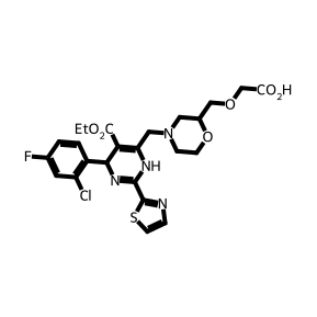 CCOC(=O)C1=C(CN2CCOC(COCC(=O)O)C2)NC(c2nccs2)=NC1c1ccc(F)cc1Cl